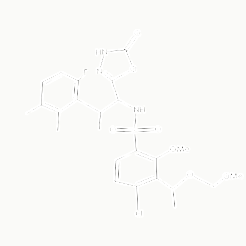 COCOC(C)c1c(Cl)ccc(S(=O)(=O)NC(c2n[nH]c(=O)o2)C(C)c2c(F)ccc(C)c2C)c1OC